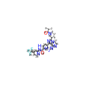 CC(C)C(=O)N1CCCC(c2nc(-c3ccc(C(=O)Nc4cc(C(F)(F)F)ccn4)cc3)c3c(N)nccn23)C1